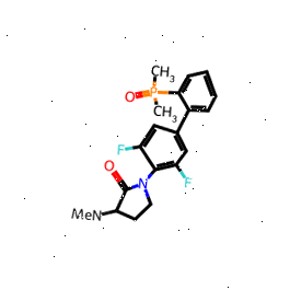 CNC1CCN(c2c(F)cc(-c3ccccc3P(C)(C)=O)cc2F)C1=O